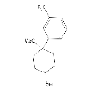 CO[C@]1(c2cccc(C(F)(F)F)c2)CC[C@H](O)CC1